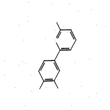 COc1ccc(-c2cccc(C(F)(F)F)n2)cc1C